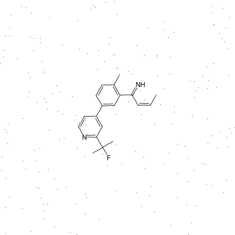 C/C=C\C(=N)c1cc(-c2ccnc(C(C)(C)F)c2)ccc1C